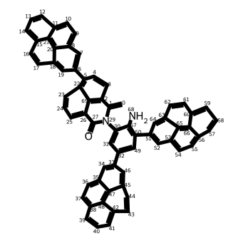 C=c1c2ccc(-c3cc4ccc5cccc6ccc(c3)c4c56)c3cccc(c(=O)n1-c1cc(-c4cc5ccc6cccc7ccc(c4)c5c67)cc(-c4cc5ccc6cccc7ccc(c4)c5c67)c1N)c32